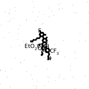 C=CCCCCc1cc(F)cc(C)c1-c1cc([C@H](CC(=O)OCC)NC(=O)[C@H](CC=C)n2cc(CCN(C)C)c(C(F)(F)F)cc2=O)c(F)cc1C